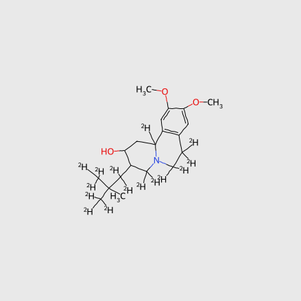 [2H]C12CC(O)C(C([2H])([2H])C(C)(C([2H])([2H])[2H])C([2H])([2H])[2H])C([2H])([2H])N1C([2H])([2H])C([2H])([2H])c1cc(OC)c(OC)cc12